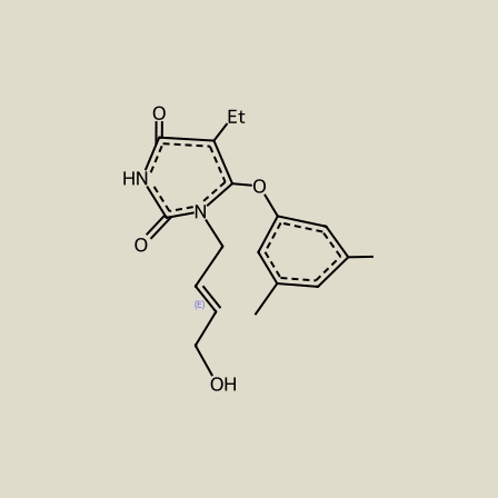 CCc1c(Oc2cc(C)cc(C)c2)n(C/C=C/CO)c(=O)[nH]c1=O